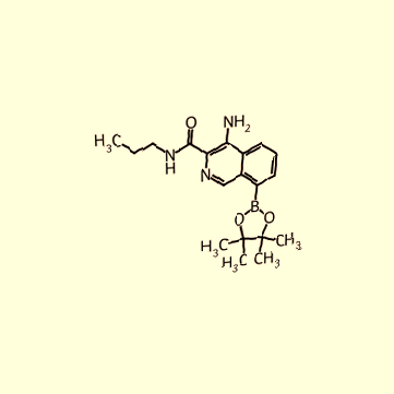 CCCNC(=O)c1ncc2c(B3OC(C)(C)C(C)(C)O3)cccc2c1N